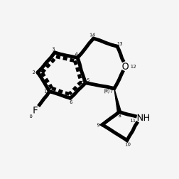 Fc1ccc2c(c1)[C@H](C1CCN1)OCC2